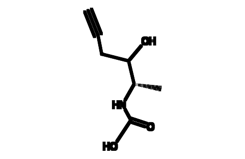 C#CCC(O)[C@H](C)NC(=O)O